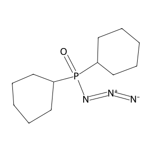 [N-]=[N+]=NP(=O)(C1CCCCC1)C1CCCCC1